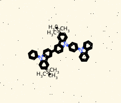 C[Si](C)(C)c1ccc2c(c1)c1cc(-c3ccc4c(c3)c3cc([Si](C)(C)C)ccc3n4-c3ccc(-n4c5ccccc5c5ccccc54)cc3)ccc1n2-c1ccccc1